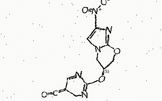 O=C=C1C=NC(O[C@@H]2COc3nc([N+](=O)[O-])cn3C2)=NC1